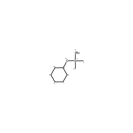 CC(C)(C)[Si](C)(C)OC1CCCCC1